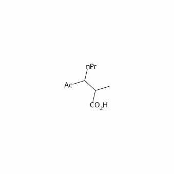 CCCC(C(C)=O)C(C)C(=O)O